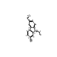 CCn1c2ccc(C=O)cc2c2ccc(Br)cc21